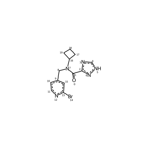 O=C(c1nc[nH]n1)N(Cc1ccnc(Br)c1)C1CCC1